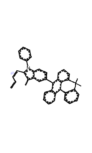 C=C/C=C\c1c(C)c2cc(-c3c4ccccc4c4c5c(cccc35)C(C)(C)c3ccccc3-4)ccc2n1-c1ccccc1